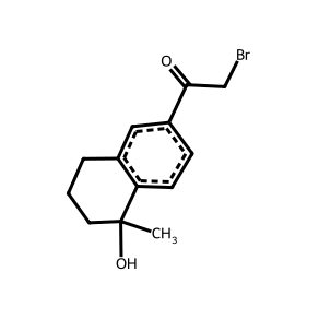 CC1(O)CCCc2cc(C(=O)CBr)ccc21